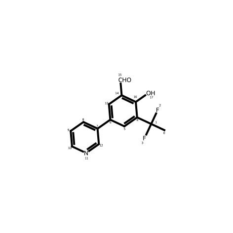 CC(F)(F)c1cc(-c2cccnc2)cc(C=O)c1O